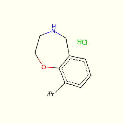 CC(C)c1cccc2c1OCCNC2.Cl